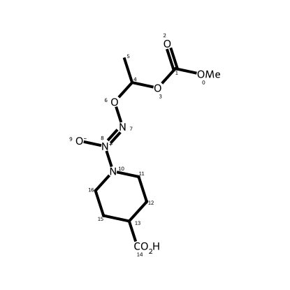 COC(=O)OC(C)ON=[N+]([O-])N1CCC(C(=O)O)CC1